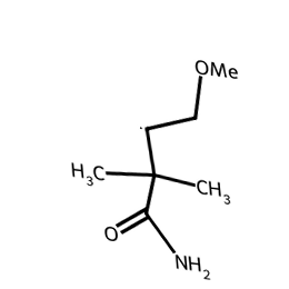 COC[CH]C(C)(C)C(N)=O